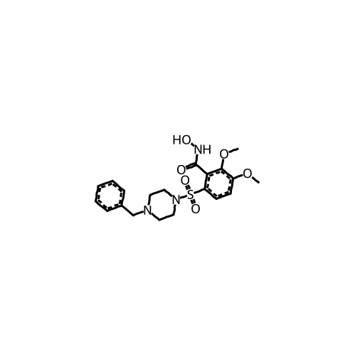 COc1ccc(S(=O)(=O)N2CCN(Cc3ccccc3)CC2)c(C(=O)NO)c1OC